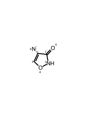 O=c1cco[nH]1.[N]